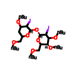 CCCCOCC1CC(OCCCC)C(I)[C@@H](O[C@H]2OC(COCCCC)[C@@H](OCCCC)C(OCCCC)C2I)O1